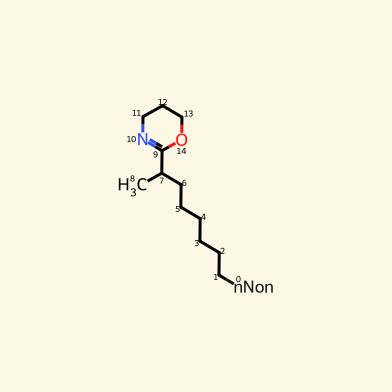 CCCCCCCCCCCCCCCC(C)C1=NCCCO1